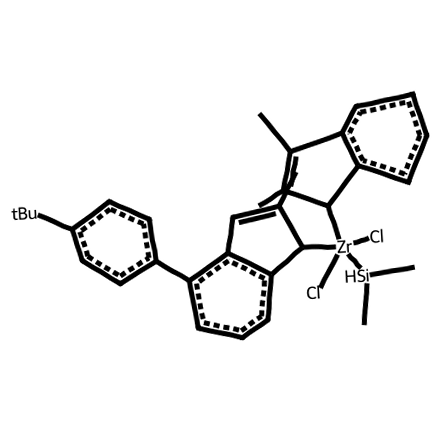 CC1=Cc2c(-c3ccc(C(C)(C)C)cc3)cccc2[CH]1[Zr]([Cl])([Cl])([CH]1C(C)=C(C)c2ccccc21)[SiH](C)C